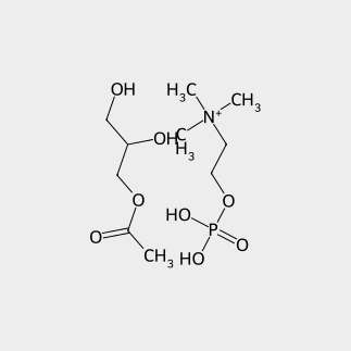 CC(=O)OCC(O)CO.C[N+](C)(C)CCOP(=O)(O)O